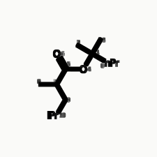 CCCC(C)(C)OC(=O)C(C)CC(C)C